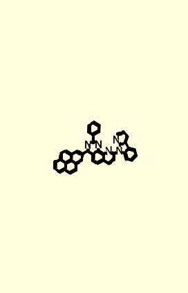 c1ccc(-c2nc(-c3cc4ccc5cccc6ccc(c3)c4c56)c3ccc4ccc(-n5c6ccccc6c6cccnc65)nc4c3n2)cc1